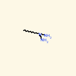 CCCCCCCCCCCCN(C=CCN)CCCN